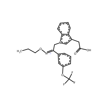 CCCO/N=C(\Cn1cc(CC(=O)O)c2ccccc21)c1cccc(OC(F)(F)F)c1